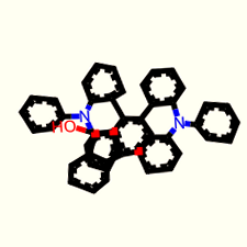 OC1c2ccccc2-c2ccc(-c3ccccc3N(c3ccccc3)c3ccccc3)c(-c3ccccc3N(c3ccccc3)c3ccccc3)c21